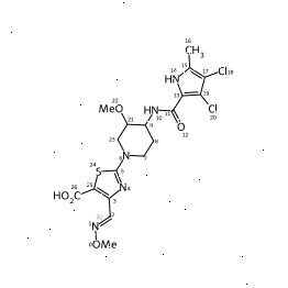 CO/N=C/c1nc(N2CCC(NC(=O)c3[nH]c(C)c(Cl)c3Cl)C(OC)C2)sc1C(=O)O